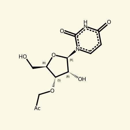 CC(=O)CO[C@H]1[C@@H](O)[C@H](n2ccc(=O)[nH]c2=O)O[C@@H]1CO